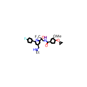 CCNCc1cc(-c2ccc(F)cc2)nc(C(O)(CNC(=O)c2ccc(OC3CC3)c(OC)c2)C(F)(F)F)c1